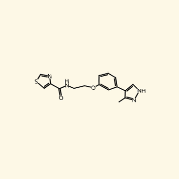 Cc1n[nH]cc1-c1c[c]cc(OCCNC(=O)c2cscn2)c1